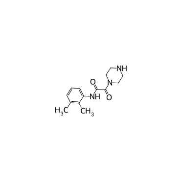 Cc1cccc(NC(=O)C(=O)N2CCNCC2)c1C